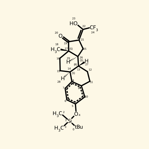 CC(C)(C)[Si](C)(C)Oc1ccc2c(c1)CC[C@@H]1[C@@H]2CC[C@]2(C)C(=O)C(=C(O)C(F)(F)F)C[C@@H]12